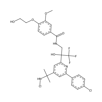 COc1cc(C(=O)NCC(O)(c2cc(C(C)(C)NCl)cc(-c3ccc(Cl)cc3)n2)C(F)(F)F)ccc1OCCO